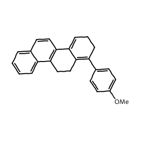 COc1ccc(C2=C3CCc4c(ccc5ccccc45)C3=CCC2)cc1